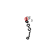 FC(F)(F)Oc1ccc([C@H]2CC[C@H]([C@H]3CC[C@H](CCCCCC4CCCC4)CC3)CC2)cc1